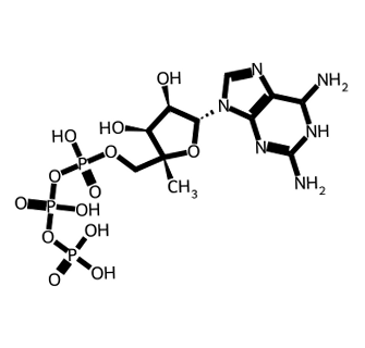 C[C@]1(COP(=O)(O)OP(=O)(O)OP(=O)(O)O)O[C@@H](n2cnc3c2N=C(N)NC3N)[C@H](O)[C@@H]1O